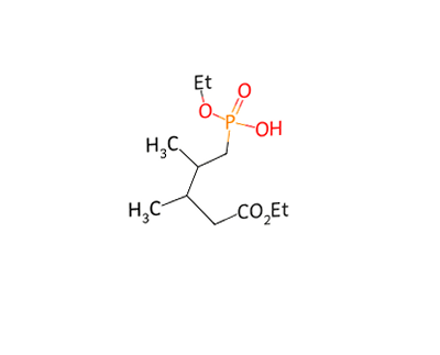 CCOC(=O)CC(C)C(C)CP(=O)(O)OCC